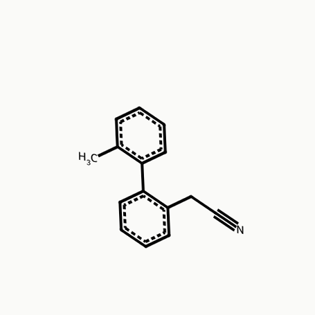 Cc1ccccc1-c1ccccc1CC#N